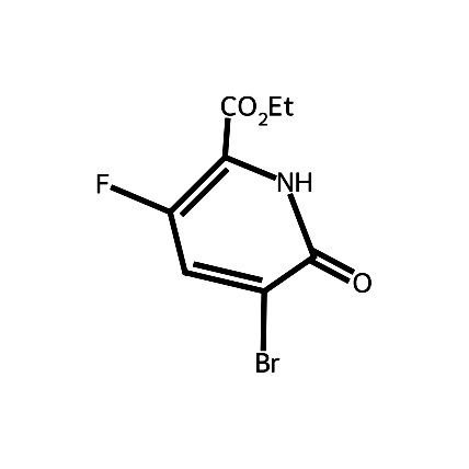 CCOC(=O)c1[nH]c(=O)c(Br)cc1F